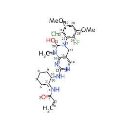 C=CC(=O)N[C@H]1CCCC[C@H]1Nc1ncc2c(n1)N(C)C(O)N(c1c(F)c(OC)cc(OC)c1Cl)C2